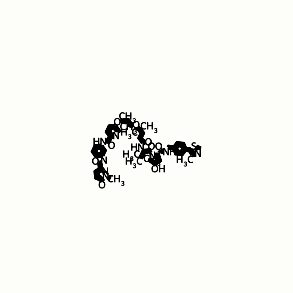 Cc1ncsc1-c1ccc(CNC(=O)[C@@H]2C[C@@H](O)CN2C(=O)[C@@H](NC(=O)CCC(C)(C)OCCC(C)(C)Oc2ccc(C(=O)Nc3ccc4oc(-c5ccc(=O)n(C)n5)nc4c3)nc2)C(C)(C)C)cc1